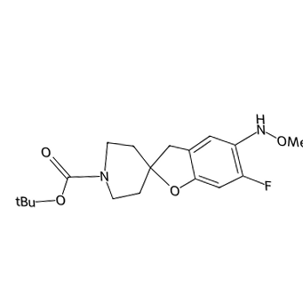 CONc1cc2c(cc1F)OC1(CCN(C(=O)OC(C)(C)C)CC1)C2